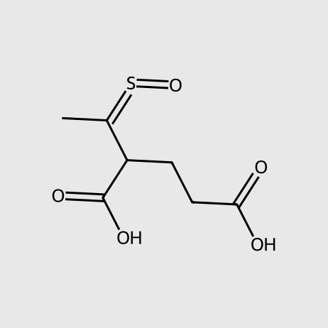 CC(=S=O)C(CCC(=O)O)C(=O)O